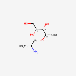 CC(C)C(N)C(=O)O.O=C[C@H](O)[C@@H](O)[C@H](O)CO